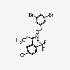 CC/C(=N\OCc1cc(Br)cc(Br)c1)c1cc(Cl)ccc1C(F)(F)F